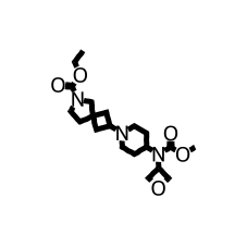 CCOC(=O)N1CCC2(CC(N3CCC(N(C(=O)OC)C4COC4)CC3)C2)C1